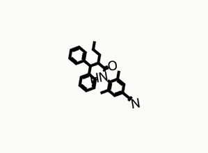 CCCC(C(=O)Nc1c(C)cc(C#N)cc1C)C(c1ccccc1)c1ccccc1